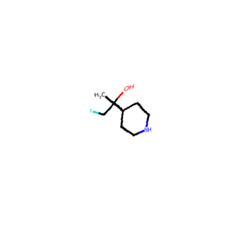 CC(O)(CF)C1CCNCC1